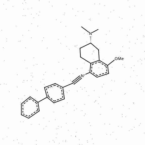 COc1ccc([N+]#Cc2ccc(-c3ccccc3)cc2)c2c1C[C@@H](N(C)C)CC2